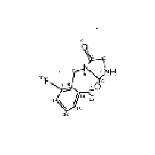 O=C1CNC(=O)N1Cc1c(F)cccc1Cl